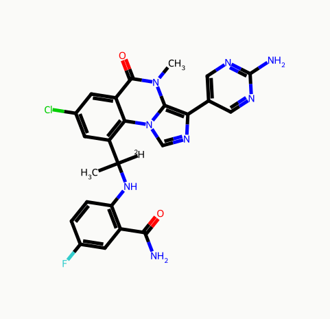 [2H]C(C)(Nc1ccc(F)cc1C(N)=O)c1cc(Cl)cc2c(=O)n(C)c3c(-c4cnc(N)nc4)ncn3c12